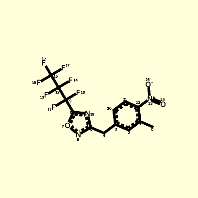 Cc1cc(Cc2noc(C(F)(F)C(F)(F)C(F)(F)F)n2)ccc1[N+](=O)[O-]